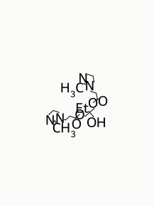 CCC(CO)(COC(=O)CCN1CCCN=C1C)COC(=O)CCN1CCCN=C1C